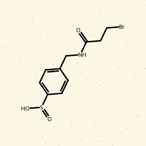 O=C(CCBr)NCc1ccc(S(=O)O)cc1